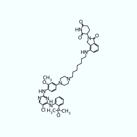 COc1cc(N2CCN(CCCCCCCNc3cccc4c3CN(C3CCC(=O)NC3=O)C4=O)CC2)ccc1Nc1ncc(Cl)c(Nc2ccccc2P(C)(C)=O)n1